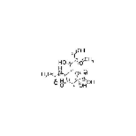 CO[C@H](CO)[C@@H](O)[C@@H]1OC(O)(C(=O)O)C[C@H](O)[C@H]1NC(C)=O